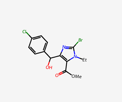 CCn1c(Br)nc(C(O)c2ccc(Cl)cc2)c1C(=O)OC